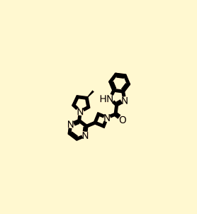 C[C@@H]1CCN(c2nccnc2C2CN(C(=O)c3nc4ccccc4[nH]3)C2)C1